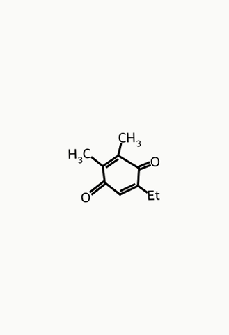 CCC1=CC(=O)C(C)=C(C)C1=O